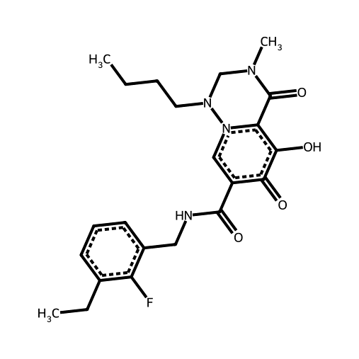 CCCCN1CN(C)C(=O)c2c(O)c(=O)c(C(=O)NCc3cccc(CC)c3F)cn21